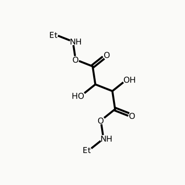 CCNOC(=O)C(O)C(O)C(=O)ONCC